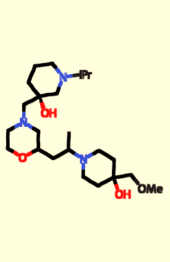 COCC1(O)CCN(C(C)CC2CN(C[C@]3(O)CCCN(C(C)C)C3)CCO2)CC1